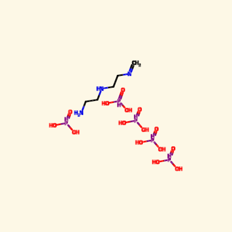 C=NCCNCCN.O=[PH](O)O.O=[PH](O)O.O=[PH](O)O.O=[PH](O)O.O=[PH](O)O